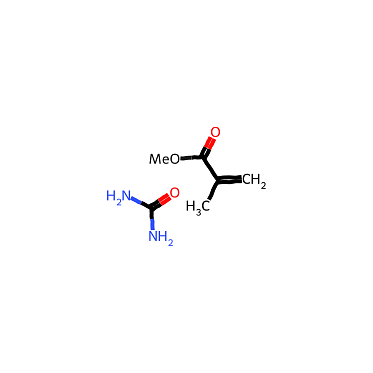 C=C(C)C(=O)OC.NC(N)=O